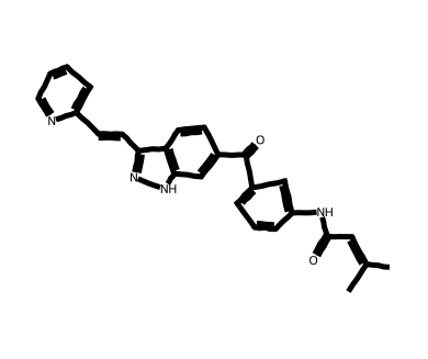 CC(C)=CC(=O)Nc1cccc(C(=O)c2ccc3c(/C=C/c4ccccn4)n[nH]c3c2)c1